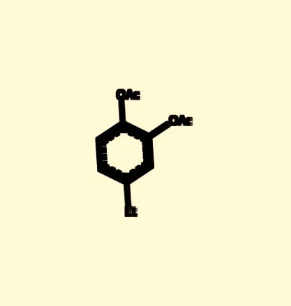 CCc1ccc(OC(C)=O)c(OC(C)=O)c1